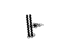 CCCCCCCCCCCCCCCCCC(=O)[O-].CCCCCCCCCCCCCCCCCC(=O)[O-].O=S(=O)(O)O.[Cu+2]